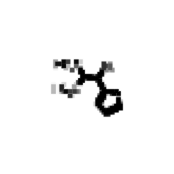 CCC(c1cccs1)C(C(=O)O)C(=O)O